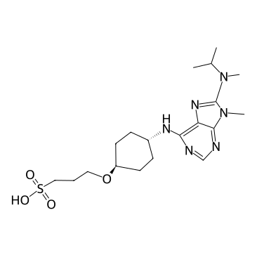 CC(C)N(C)c1nc2c(N[C@H]3CC[C@H](OCCCS(=O)(=O)O)CC3)ncnc2n1C